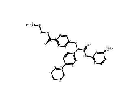 CSc1cccc(NC(=O)N(Cc2ccc(C(=O)NCCC(=O)O)cc2)c2ccc(C3=CCCCC3)cc2)c1